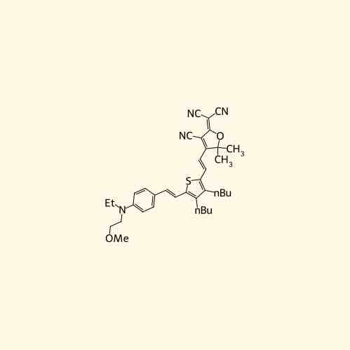 CCCCc1c(C=CC2=C(C#N)C(=C(C#N)C#N)OC2(C)C)sc(C=Cc2ccc(N(CC)CCOC)cc2)c1CCCC